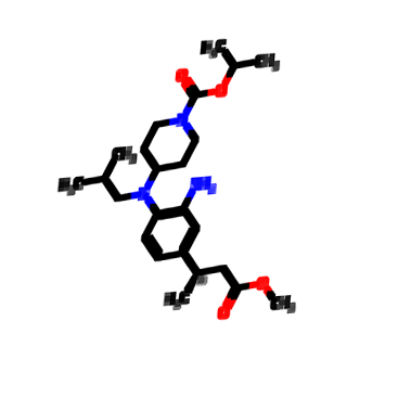 COC(=O)C[C@@H](C)c1ccc(N(CC(C)C)C2CCN(C(=O)OC(C)C)CC2)c(N)c1